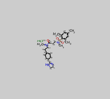 Cc1cc(C)c(S(=O)(=O)N(C)CCC(=O)N(C)CCc2ccc(C3=NCCN3)cc2)c(C)c1.Cl